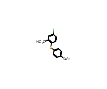 CSc1ccc(Sc2ccc(F)cc2C(=O)O)cc1